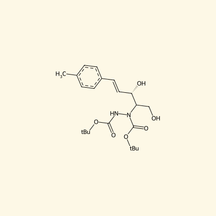 Cc1ccc(/C=C/[C@H](O)C(CO)N(NC(=O)OC(C)(C)C)C(=O)OC(C)(C)C)cc1